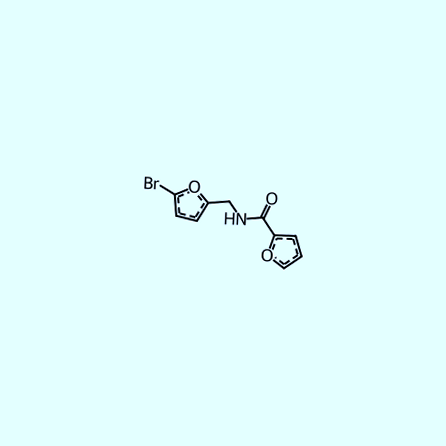 O=C(NCc1ccc(Br)o1)c1ccco1